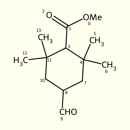 COC(=O)C1C(C)(C)CC(C=O)CC1(C)C